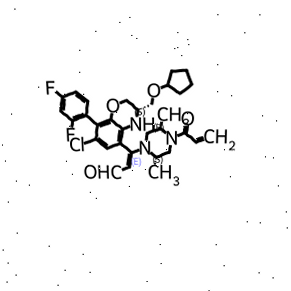 C=CC(=O)N1C[C@H](C)N(/C(=C/C=O)c2cc(Cl)c(-c3ccc(F)cc3F)c3c2N[C@@H](COC2CCCC2)CO3)C[C@H]1C